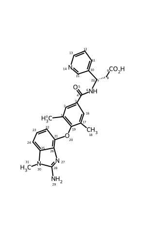 Cc1cc(C(=O)N[C@@H](CC(=O)O)c2cccnc2)cc(C)c1Oc1cccc2c1nc(N)n2C